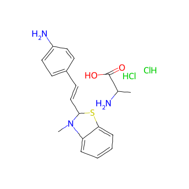 CC(N)C(=O)O.CN1c2ccccc2SC1C=Cc1ccc(N)cc1.Cl.Cl